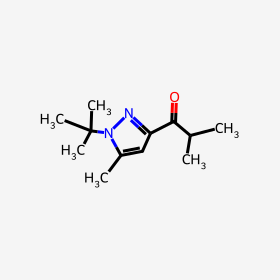 Cc1cc(C(=O)C(C)C)nn1C(C)(C)C